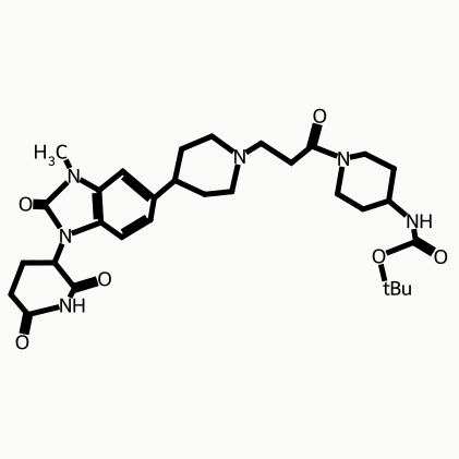 Cn1c(=O)n(C2CCC(=O)NC2=O)c2ccc(C3CCN(CCC(=O)N4CCC(NC(=O)OC(C)(C)C)CC4)CC3)cc21